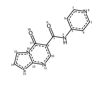 O=C(Nc1ccncc1)c1cnc2sccn2c1=O